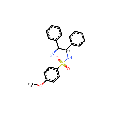 COc1ccc(S(=O)(=O)N[C@H](c2ccccc2)C(N)c2ccccc2)cc1